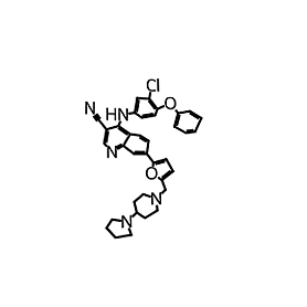 N#Cc1cnc2cc(-c3ccc(CN4CCC(N5CCCC5)CC4)o3)ccc2c1Nc1ccc(Oc2ccccc2)c(Cl)c1